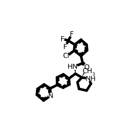 C[C@@]1([C@@H](NC(=O)c2cccc(C(F)(F)F)c2Cl)c2ccc(-c3ccccn3)cc2)CCCCN1